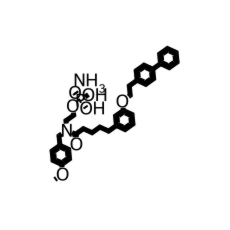 COc1ccc(CN(CCOP(=O)(O)O)C(=O)CCCCc2cccc(OCCc3ccc(-c4ccccc4)cc3)c2)cc1.N